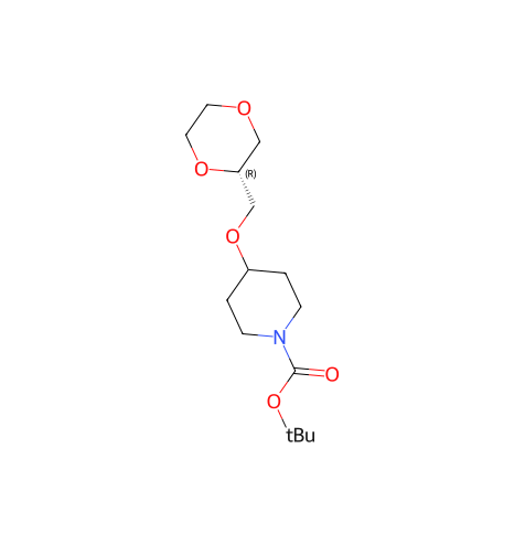 CC(C)(C)OC(=O)N1CCC(OC[C@H]2COCCO2)CC1